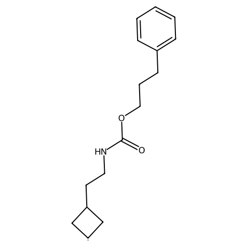 O=C(NCCC1C[CH]C1)OCCCc1ccccc1